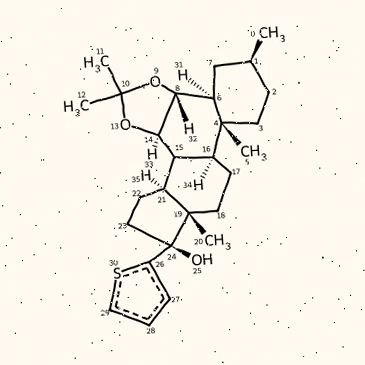 C[C@H]1CC[C@@]2(C)[C@H](C1)[C@H]1OC(C)(C)O[C@@H]1C1[C@@H]2CC[C@@]2(C)[C@H]1CC[C@@]2(O)c1cccs1